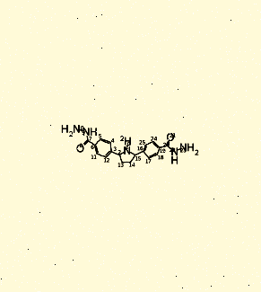 [2H]N1C(c2ccc(C(=O)NN)cc2)CCC1c1ccc(C(=O)NN)cc1